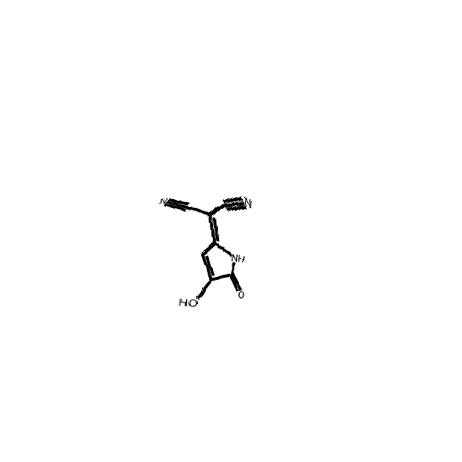 N#CC(C#N)=C1C=C(O)C(=O)N1